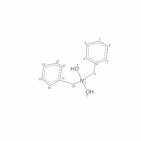 O[N+](O)(Cc1ccccc1)Cc1ccccc1